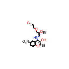 CCO/C(=C/NC1c2cc([N+](=O)[O-])ccc2O[C@@H](CC)[C@@H]1O)COCC=C=O